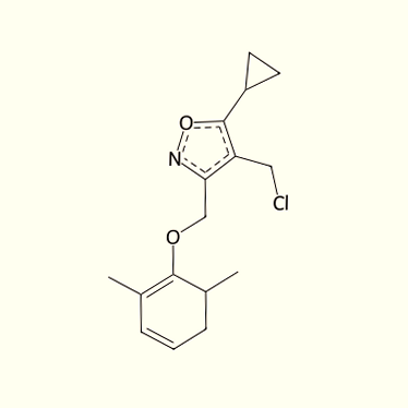 CC1=C(OCc2noc(C3CC3)c2CCl)C(C)CC=C1